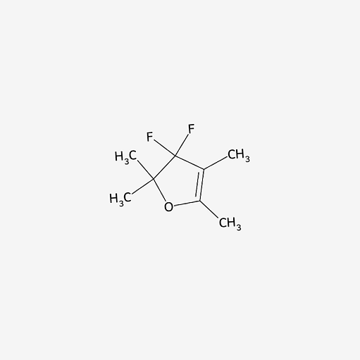 CC1=C(C)C(F)(F)C(C)(C)O1